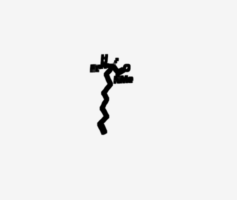 C=CCCCCCC[C@@](C)(NCC)C(=O)NC